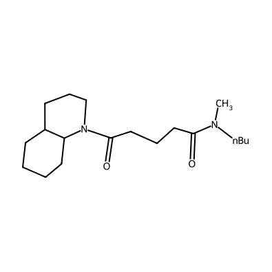 CCCCN(C)C(=O)CCCC(=O)N1CCCC2CCCCC21